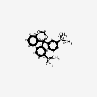 CN(C)c1cccc(C2(c3cccc(N(C)C)c3)OCOc3ccccc32)c1